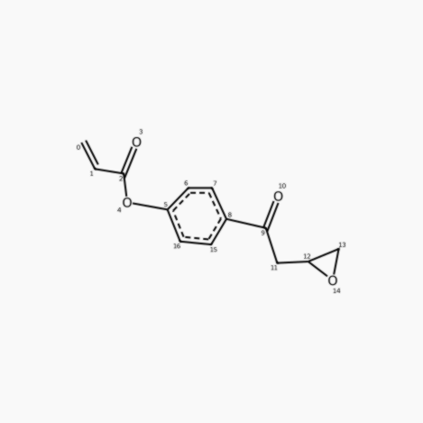 C=CC(=O)Oc1ccc(C(=O)CC2CO2)cc1